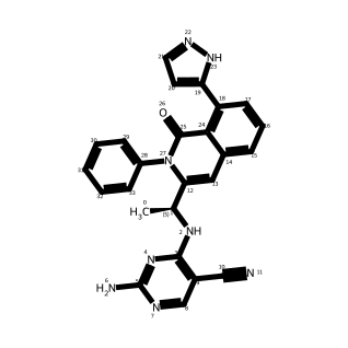 C[C@H](Nc1nc(N)ncc1C#N)c1cc2cccc(-c3ccn[nH]3)c2c(=O)n1-c1ccccc1